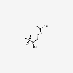 C[C@@H](OCCN(C(C)(C)C)S(C)(=O)=O)C(C)(C)C